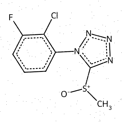 C[S+]([O-])c1nnnn1-c1cccc(F)c1Cl